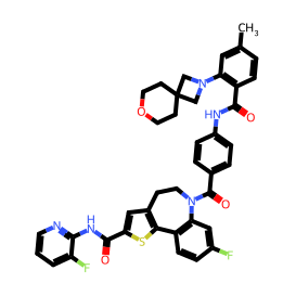 Cc1ccc(C(=O)Nc2ccc(C(=O)N3CCc4cc(C(=O)Nc5ncccc5F)sc4-c4ccc(F)cc43)cc2)c(N2CC3(CCOCC3)C2)c1